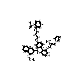 COc1cc(CO[C@H]2CNC[C@H](OCC(O)Cn3ccnc3)C2c2ccc(OCCCOc3ccccc3[N+](=O)[O-])cc2)cc2ccccc12